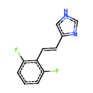 Fc1cccc(F)c1C=Cc1c[nH]cn1